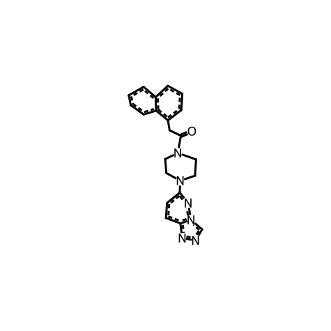 O=C(Cc1cccc2ccccc12)N1CCN(c2ccc3nncn3n2)CC1